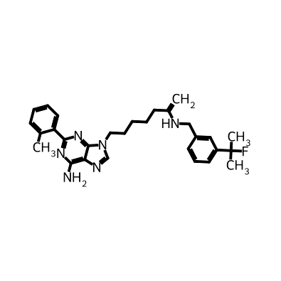 C=C(CCCCCn1cnc2c(N)nc(-c3ccccc3C)nc21)NCc1cccc(C(C)(C)F)c1